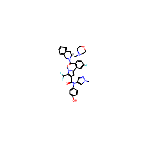 Cn1cc(N(C(=O)c2cc(-c3cc(F)ccc3C(=O)N3Cc4ccccc4C[C@H]3CN3CCOCC3)n(C)c2C(F)F)c2ccc(O)cc2)cn1